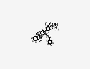 CC(O)(c1ccc(N2CCN(S(=O)(=O)C3=CC=CCC3=S)CC2COCc2ccccc2)cc1)C(F)(F)F